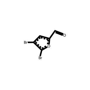 O=Cc1cc(Br)c(Br)o1